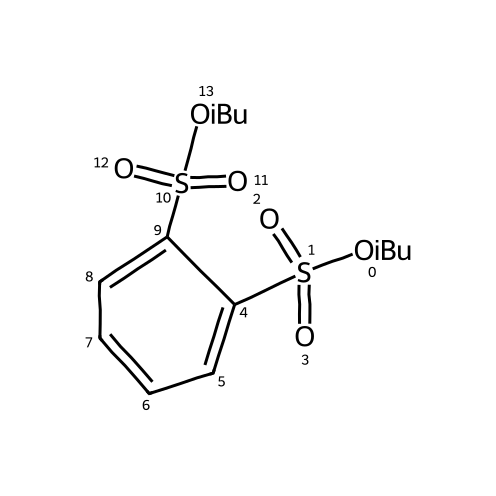 CC(C)COS(=O)(=O)c1ccccc1S(=O)(=O)OCC(C)C